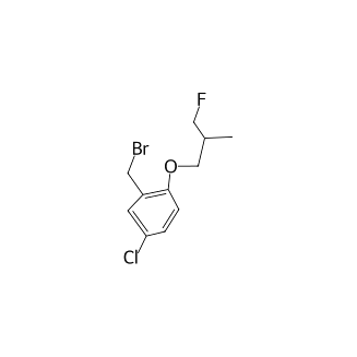 CC(CF)COc1ccc(Cl)cc1CBr